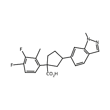 Cc1c(C2(C(=O)O)CCC(c3ccc4cnn(C)c4c3)C2)ccc(F)c1F